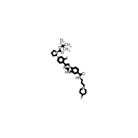 CC(C)(C)OC(=O)N1CCC[C@H]1c1ccc(-c2cn3c(n2)[nH]c2cc(C(=O)NCCCN4CCC(F)CC4)ccc23)c(F)c1